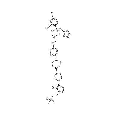 CS(=O)(=O)CCn1ncn(-c2ccc(N3CCN(c4ccc(OC[C@@H]5CO[C@@](Cn6cnnn6)(c6ccc(Cl)cc6Cl)O5)cn4)CC3)cc2)c1=O